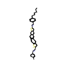 CCCCCCc1ccc(/C=C/c2cc3cc4cc5cc6cc(/C=C/c7ccc(C)cc7)sc6cc5cc4cc3s2)cc1